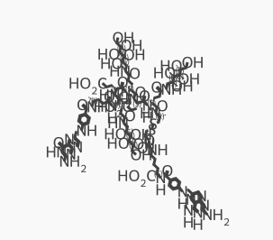 C[C@H](CCC(=O)N[C@@H](CCC(=O)NC[C@H](O)[C@@H](O)[C@H](O)[C@H](O)CO)C(=O)N[C@@H](CCC(=O)O)C(=O)N[C@@H](CCC(=O)NC[C@H](O)[C@@H](O)[C@H](O)[C@H](O)CO)C(=O)N[C@@H](CCC(=O)O)C(=O)N[C@@H](CCC(=O)NC[C@H](O)[C@@H](O)[C@H](O)[C@H](O)CO)C(=O)N[C@H](C)CSSCCOC(=O)NCCCC[C@H](NC(=O)c1ccc(NCc2cnc3nc(N)[nH]c(=N)c3n2)cc1)C(=O)O)NC(=O)c1ccc(NCc2cnc3nc(N)[nH]c(=O)c3n2)cc1